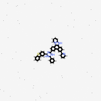 C1=CC2Nc3c(c4ccc(C5=NC(c6ccc7sc8ccccc8c7c6)NC(c6ccccc6)N5)cc4c4cc(-c5ccccn5)ccc34)N2C=C1